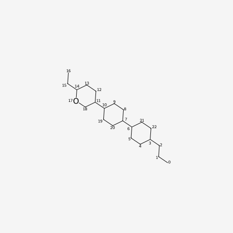 CCCC1CCC(C2CCC(C3CCC(CC)OC3)CC2)CC1